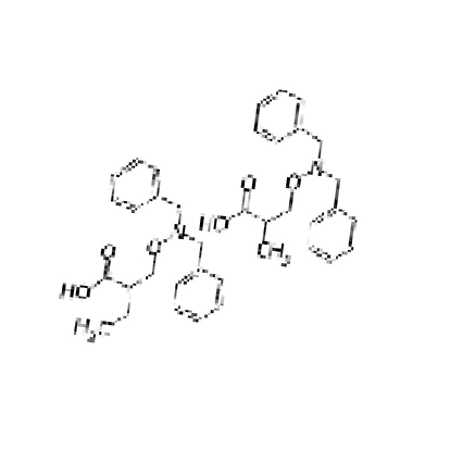 CC(CON(Cc1ccccc1)Cc1ccccc1)C(=O)O.CCC(CON(Cc1ccccc1)Cc1ccccc1)C(=O)O